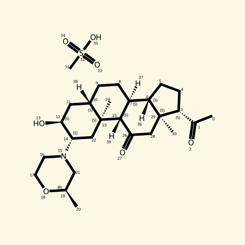 CC(=O)[C@H]1CC[C@H]2[C@@H]3CC[C@H]4C[C@H](O)[C@@H](N5CCO[C@H](C)C5)C[C@]4(C)[C@H]3C(=O)C[C@]12C.CS(=O)(=O)O